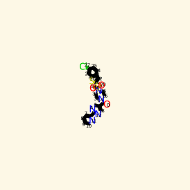 O=C(c1cnc(-c2ccccn2)nc1)N1CCN(S(=O)(=O)c2cc3ccc(Cl)cc3s2)CC1